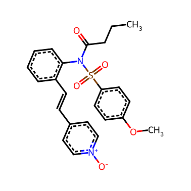 CCCC(=O)N(c1ccccc1C=Cc1cc[n+]([O-])cc1)S(=O)(=O)c1ccc(OC)cc1